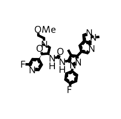 COCCN1C[C@@H](NC(=O)Nc2c(C)c(-c3cnc4c(cnn4C)c3)nn2-c2ccc(F)cc2)[C@H](c2ccnc(F)c2)O1